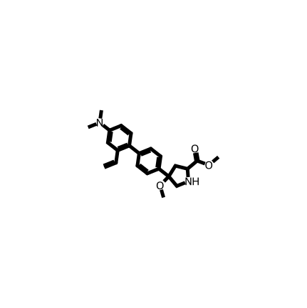 C=Cc1cc(N(C)C)ccc1-c1ccc(C2(OC)CNC(C(=O)OC)C2)cc1